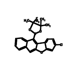 CC1(C)OB(c2c3ccccc3cc3oc4cc(Cl)ccc4c23)OC1(C)C